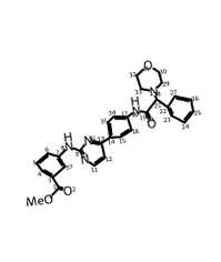 COC(=O)c1cccc(Nc2nccc(-c3ccc(NC(=O)C(c4ccccc4)N4CCOCC4)cc3)n2)c1